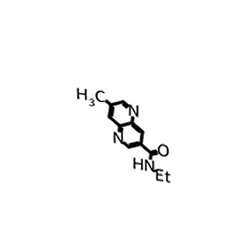 CCNC(=O)c1cnc2cc(C)cnc2c1